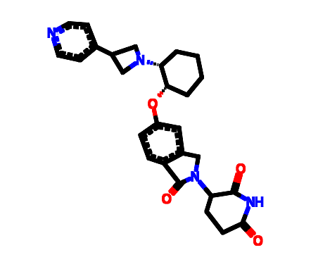 O=C1CCC(N2Cc3cc(O[C@H]4CCCC[C@H]4N4CC(c5ccncc5)C4)ccc3C2=O)C(=O)N1